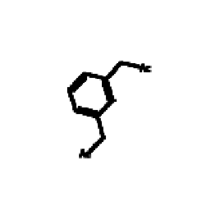 CC(=O)Cc1[c]c(CC(C)=O)ccc1